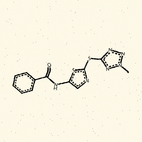 Cn1nnc(Sc2ncc(NC(=O)c3ccccc3)s2)n1